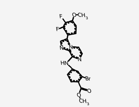 COC(=O)c1ccc(Nc2nccn3c(-c4ccc(OC)c(F)c4F)cnc23)cc1Br